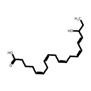 CCC(O)/C=C/C=C\C/C=C\C/C=C\C/C=C\CCCC(=O)O